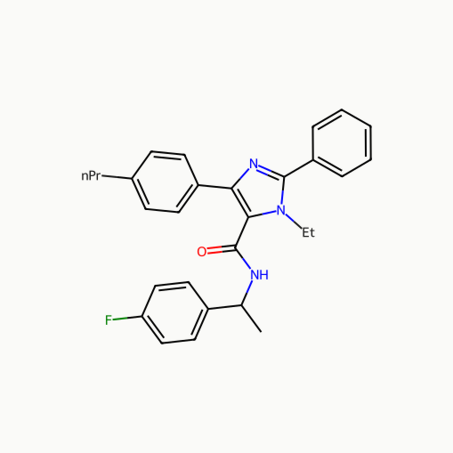 CCCc1ccc(-c2nc(-c3ccccc3)n(CC)c2C(=O)NC(C)c2ccc(F)cc2)cc1